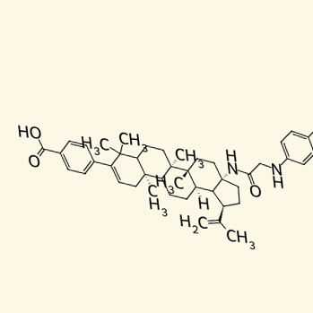 C=C(C)[C@@H]1CC[C@]2(NC(=O)CNc3ccc(F)cc3)CC[C@]3(C)[C@H](CCC4[C@@]5(C)CC=C(c6ccc(C(=O)O)cc6)C(C)(C)C5CC[C@]43C)C12